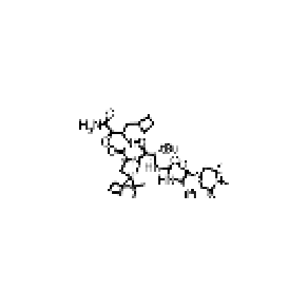 CC(C)[C@H](NC(=O)N[C@H](C(=O)N1C[C@]2(C[C@H]1C(=O)NC(CC1CCC1)C(=O)C(N)=O)C(C)(C)C21CCC1)C(C)(C)C)C(=O)N1C[C@H](C)N(C)[C@@H](C)C1